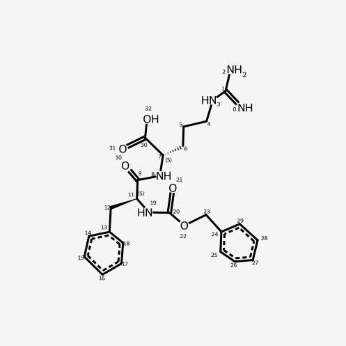 N=C(N)NCCC[C@H](NC(=O)[C@H](Cc1ccccc1)NC(=O)OCc1ccccc1)C(=O)O